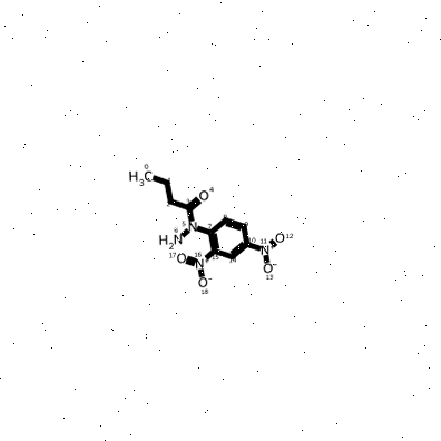 CCCC(=O)N(N)c1ccc([N+](=O)[O-])cc1[N+](=O)[O-]